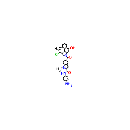 Cc1cccc2c(O)cc3c(c12)[C@H](CCl)CN3C(=O)c1ccc2c(c1)cc(C(=O)Nc1ccc(N)cc1)n2C